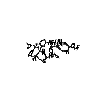 COC[C@H]1C[C@]2(c3cc(NC(=O)c4cnc(OCF)cn4)ccc3F)N=C(N)SC[C@@H]2CO1